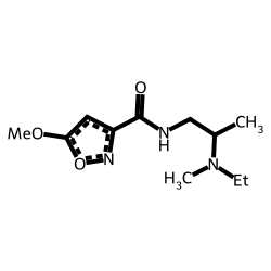 CCN(C)C(C)CNC(=O)c1cc(OC)on1